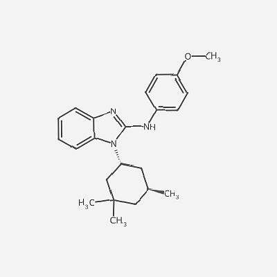 COc1ccc(Nc2nc3ccccc3n2[C@@H]2C[C@@H](C)CC(C)(C)C2)cc1